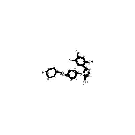 CC(C)c1cc(-c2nnc(O)n2-c2ccc(OCC3CCNCC3)cc2)c(O)cc1O